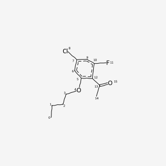 CCCCOc1cc(Cl)cc(F)c1C(C)=O